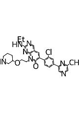 CCNc1ncc2cc(-c3ccc(-c4cncc(C)n4)cc3Cl)c(=O)n(CCOC3CCCNC3)c2n1